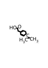 CC(C)CC1C=CC(CC(=O)O)=CC1